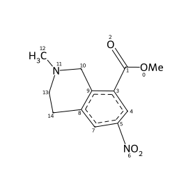 COC(=O)c1cc([N+](=O)[O-])cc2c1CN(C)CC2